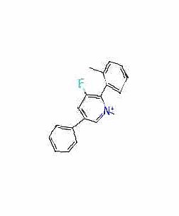 Cc1ccccc1-c1c(F)cc(-c2ccccc2)c[n+]1C